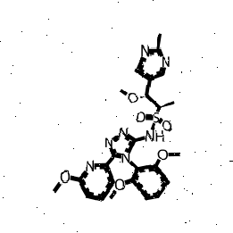 COc1cccc(-c2nnc(NS(=O)(=O)[C@H](C)[C@H](OC)c3cnc(C)nc3)n2-c2c(OC)cccc2OC)n1